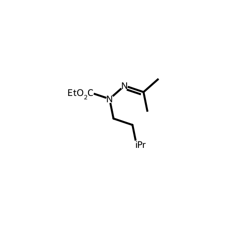 CCOC(=O)N(CCC(C)C)N=C(C)C